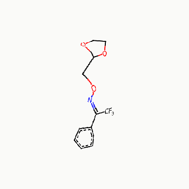 FC(F)(F)C(=NOCC1OCCO1)c1ccccc1